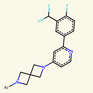 CC(=O)N1CC2(C1)CN(c1ccnc(-c3ccc(F)c(C(F)F)c3)c1)C2